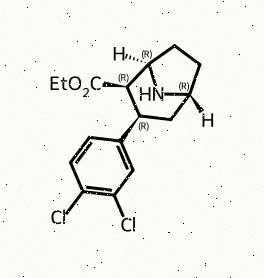 CCOC(=O)[C@H]1[C@H]2CC[C@H](C[C@H]1c1ccc(Cl)c(Cl)c1)N2